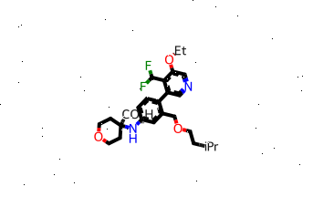 CCOc1cncc(-c2ccc(NC3(C(=O)O)CCOCC3)cc2COCCC(C)C)c1C(F)F